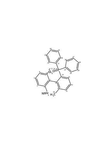 CNc1cccc(C)c1-c1c(C)cccc1P(=O)(c1ccccc1)c1ccccc1